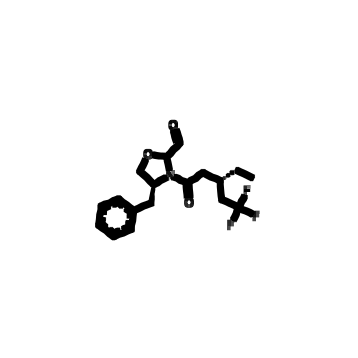 CC[C@@H](CC(=O)N1C(C=O)OC[C@@H]1Cc1ccccc1)CC(F)(F)F